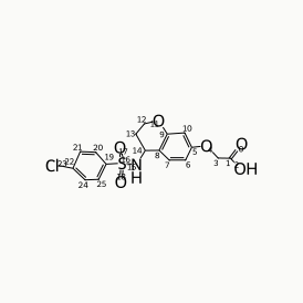 O=C(O)COc1ccc2c(c1)OCCC2NS(=O)(=O)c1ccc(Cl)cc1